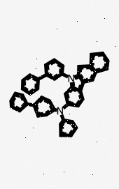 c1ccc(-c2ccc(N(c3ccccc3)c3ccc4c5cc6ccccc6cc5n(-c5cccc(-c6ccccc6)c5)c4c3)cc2)cc1